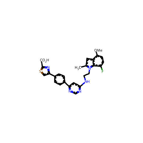 COc1ccc(F)c2c1cc(C)n2CCNc1cc(-c2ccc(-c3csc(C(=O)O)n3)cc2)ncn1